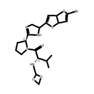 CC(C)[C@H](NC1OCO1)C(=O)N1CCC[C@H]1C1=NCC(C2=CC3SC(Br)=CC3S2)N1